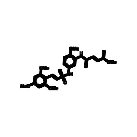 COC(=O)C=CC(=O)Nc1cc(NS(=O)(=O)C=Cc2c(OC)cc(OC)cc2OC)ccc1OC